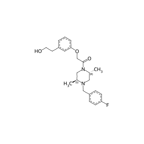 C[C@@H]1CN(Cc2ccc(F)cc2)[C@@H](C)CN1C(=O)COc1cccc(CCO)c1